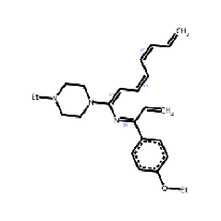 C=C\C=C/C=C\C=C(/N=C(\C=C)c1ccc(OCC)cc1)N1CCN(CC)CC1